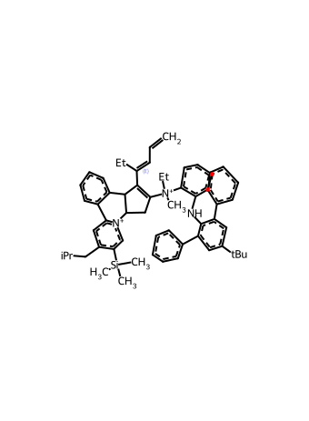 C=C/C=C(\CC)C1=C([N+](C)(CC)c2ccccc2Nc2c(-c3ccccc3)cc(C(C)(C)C)cc2-c2ccccc2)CC2C1c1ccccc1-c1cc(CC(C)C)c([Si](C)(C)C)c[n+]12